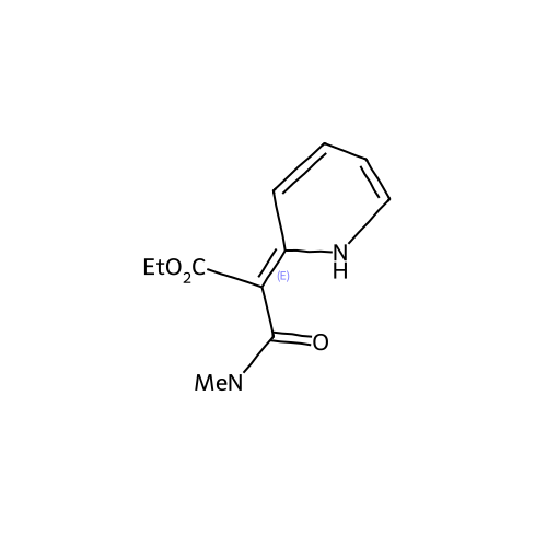 CCOC(=O)/C(C(=O)NC)=C1\C=CC=CN1